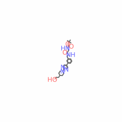 CC(C)(C)OC(=O)NCC(=O)NCc1cccc(-c2cnc(N3CCC(CCO)CC3)nc2)c1